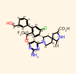 CCC1NC(C(=O)O)CC12CCN(c1cc(O[C@H](c3ccc(Cl)cc3-c3cccc(CO)c3)C(F)(F)F)nc(N)n1)CC2